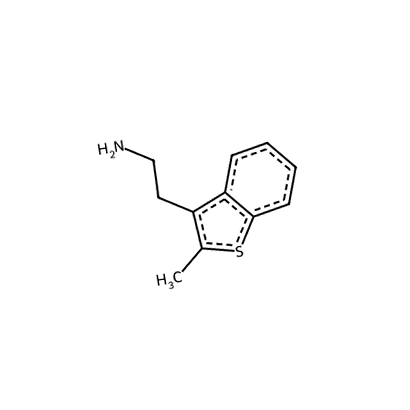 Cc1sc2ccccc2c1CCN